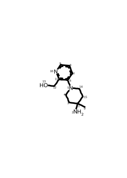 CC1(N)CCN(c2cccnc2CO)CC1